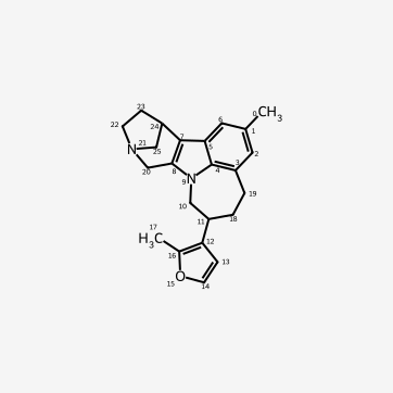 Cc1cc2c3c(c1)c1c(n3CC(c3ccoc3C)CC2)CN2CCC1C2